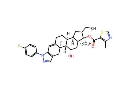 Cc1ncsc1C(=O)O[C@]1(C(=O)O)C(CC#N)C[C@H]2[C@@H]3CCC4=Cc5c(cnn5-c5ccc(F)cc5)C[C@]4(C)[C@H]3[C@@H](O)C[C@@]21C